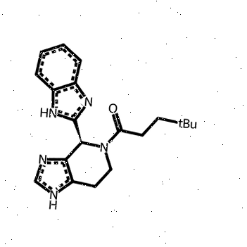 CC(C)(C)CCC(=O)N1CCc2[nH]cnc2[C@H]1c1nc2ccccc2[nH]1